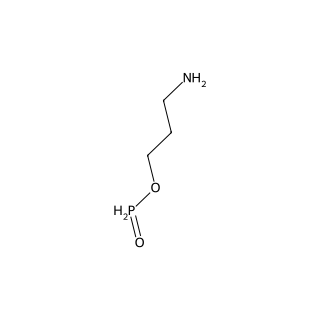 NCCCO[PH2]=O